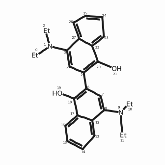 CCN(CC)c1cc(-c2cc(N(CC)CC)c3ccccc3c2O)c(O)c2ccccc12